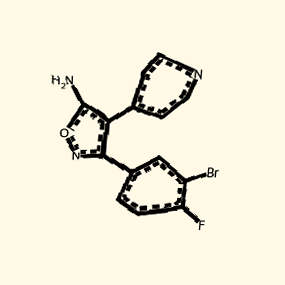 Nc1onc(-c2ccc(F)c(Br)c2)c1-c1ccncc1